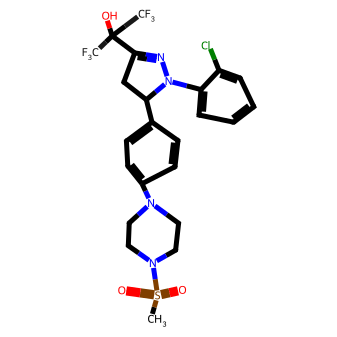 CS(=O)(=O)N1CCN(c2ccc(C3CC(C(O)(C(F)(F)F)C(F)(F)F)=NN3c3ccccc3Cl)cc2)CC1